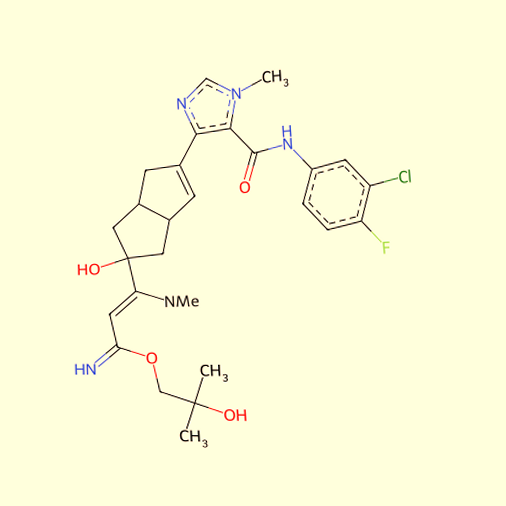 CN/C(=C\C(=N)OCC(C)(C)O)C1(O)CC2C=C(c3ncn(C)c3C(=O)Nc3ccc(F)c(Cl)c3)CC2C1